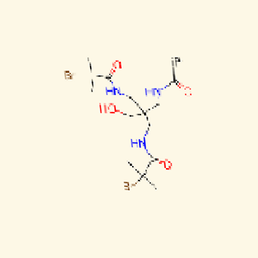 CC(C)C(=O)NCC(CO)(CNC(=O)C(C)(C)Br)CNC(=O)C(C)(C)Br